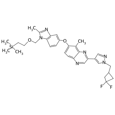 Cc1c(Oc2ccc3c(c2)nc(C)n3COCC[Si](C)(C)C)ccc2ncc(-c3cnn(CC4CC(F)(F)C4)c3)nc12